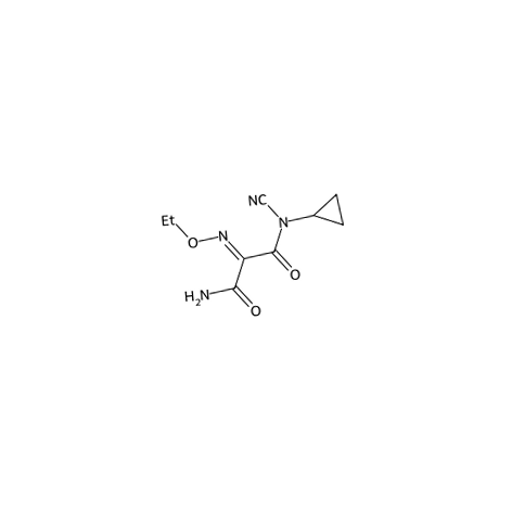 CCON=C(C(N)=O)C(=O)N(C#N)C1CC1